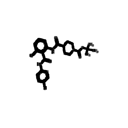 CC(C)(C)OC(=O)N1CCC(C(=O)Nc2cccc(Cl)c2C(=O)Nc2ccc(Cl)cn2)CC1